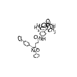 CC(C)(c1ccc(NC(=O)CCc2oc(-c3ccccc3)nc2-c2ccc(Cl)cc2)cc1)P(=O)(O)O